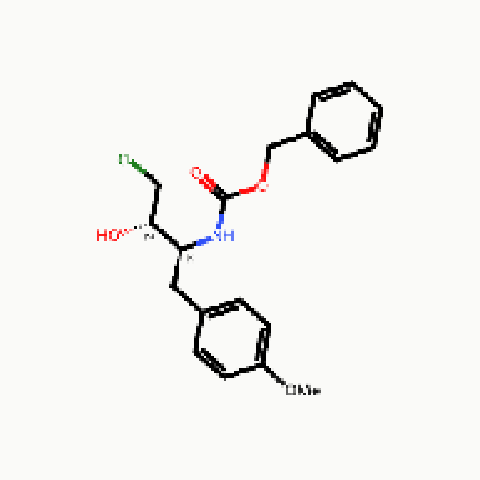 COc1ccc(C[C@H](NC(=O)OCc2ccccc2)[C@H](O)CCl)cc1